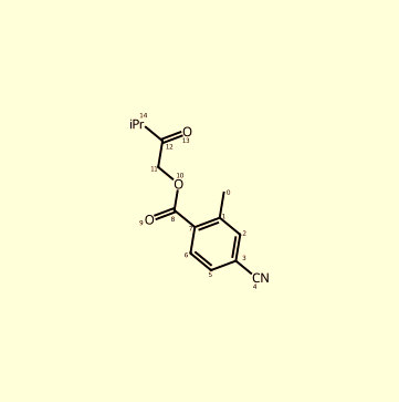 Cc1cc(C#N)ccc1C(=O)OCC(=O)C(C)C